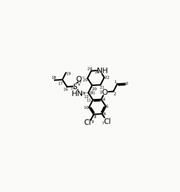 C=CCOc1cc(Cl)c(Cl)cc1[C@H](N[S+]([O-])CC(C)C)C1CCNCC1